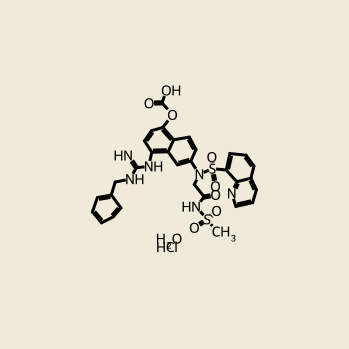 CS(=O)(=O)NC(=O)CN(c1ccc2c(OC(=O)O)ccc(NC(=N)NCc3ccccc3)c2c1)S(=O)(=O)c1cccc2cccnc12.Cl.O